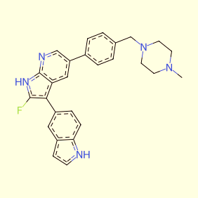 CN1CCN(Cc2ccc(-c3cnc4[nH]c(F)c(-c5ccc6[nH]ccc6c5)c4c3)cc2)CC1